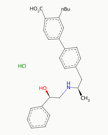 CCCCc1cc(-c2ccc(C[C@@H](C)NC[C@H](O)c3ccccc3)cc2)ccc1C(=O)O.Cl